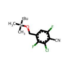 CC(C)(C)[Si](C)(C)OCc1cc(F)c(C#N)c(Cl)c1F